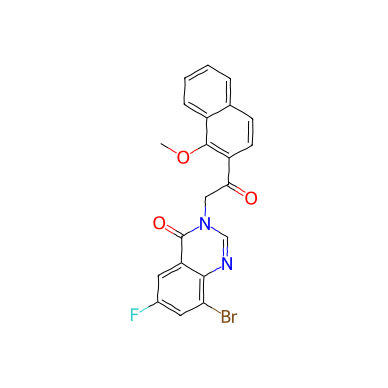 COc1c(C(=O)Cn2cnc3c(Br)cc(F)cc3c2=O)ccc2ccccc12